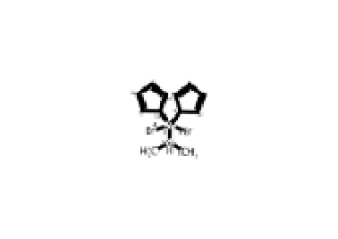 C[SiH](C)[Zr]([Br])([Br])([CH]1C=CC=C1)[CH]1C=CC=C1